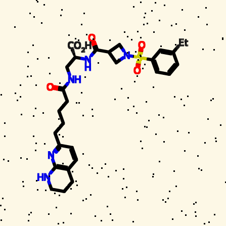 CCc1cccc(S(=O)(=O)N2CC(C(=O)N[C@@H](CNC(=O)CCCCc3ccc4c(n3)NCCC4)C(=O)O)C2)c1